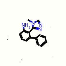 Cn1cnnc1-c1c(N)cccc1-c1ccccc1